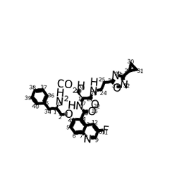 N[C@@H](COc1ccc2ncc(F)cc2c1C(=O)N[C@@H](CC(=O)O)C(=O)NCCc1nc(C2CC2)no1)Cc1ccccc1